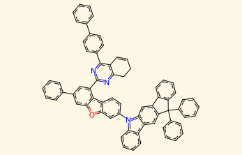 C1=Cc2c(nc(-c3cc(-c4ccccc4)cc4oc5cc(-n6c7ccccc7c7cc8c(cc76)-c6ccccc6C8(c6ccccc6)c6ccccc6)ccc5c34)nc2-c2ccc(-c3ccccc3)cc2)CC1